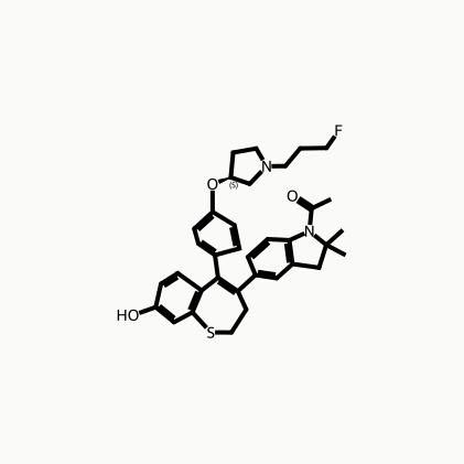 CC(=O)N1c2ccc(C3=C(c4ccc(O[C@H]5CCN(CCCF)C5)cc4)c4ccc(O)cc4SCC3)cc2CC1(C)C